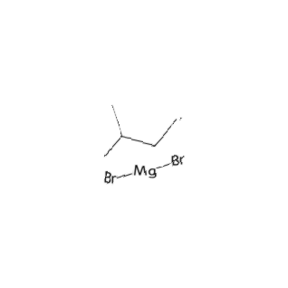 [Br][Mg][Br].[CH2]CC(C)C